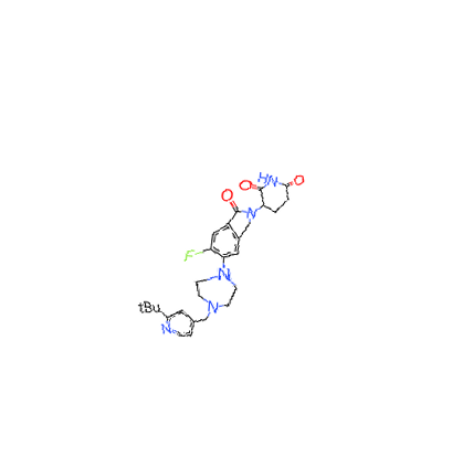 CC(C)(C)c1cc(CN2CCN(c3cc4c(cc3F)C(=O)N(C3CCC(=O)NC3=O)C4)CC2)ccn1